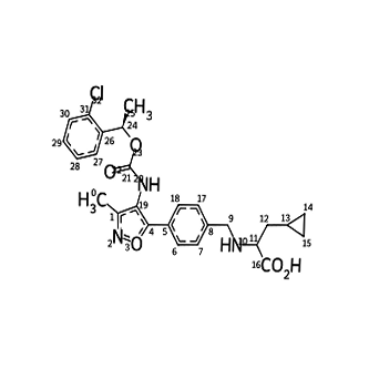 Cc1noc(-c2ccc(CNC(CC3CC3)C(=O)O)cc2)c1NC(=O)O[C@H](C)c1ccccc1Cl